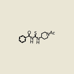 CC(=O)N1CCC(NC(=S)NC(=O)c2ccccc2)CC1